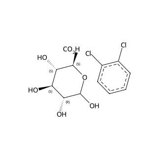 Clc1ccccc1Cl.O=C(O)[C@H]1OC(O)[C@H](O)[C@@H](O)[C@@H]1O